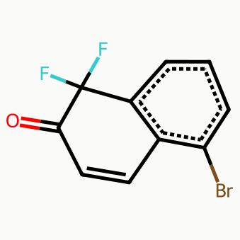 O=C1C=Cc2c(Br)cccc2C1(F)F